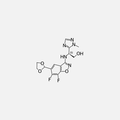 Cn1ncnc1[C@@H](CO)Nc1noc2c(F)c(F)c(C3OCCO3)cc12